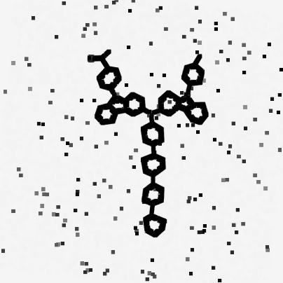 CC(=O)c1ccc(-n2c3ccccc3c3cc(N(c4ccc(-c5ccc(-c6ccc(-c7ccccc7)cc6)cc5)cc4)c4ccc5c(c4)c4ccccc4n5-c4ccc(C)cc4)ccc32)cc1